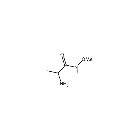 CONC(=O)C(C)N